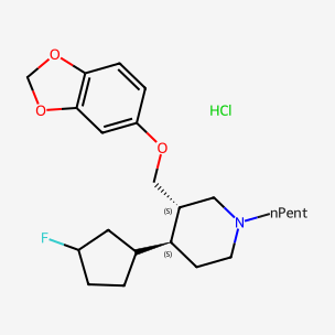 CCCCCN1CC[C@@H](C2CCC(F)C2)[C@H](COc2ccc3c(c2)OCO3)C1.Cl